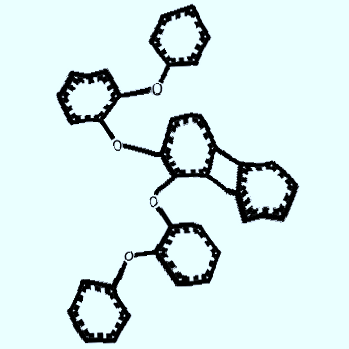 c1ccc(Oc2ccccc2Oc2ccc3c(c2Oc2ccccc2Oc2ccccc2)-c2ccccc2-3)cc1